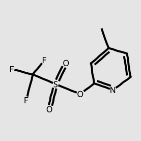 Cc1ccnc(OS(=O)(=O)C(F)(F)F)c1